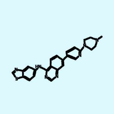 CN1CCN(c2ccc(-c3ccc4c(Nc5ccc6scnc6c5)ncnc4c3)cn2)CC1